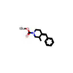 CC1CN(C(=O)OC(C)(C)C)CC/C1=C/c1ccccc1